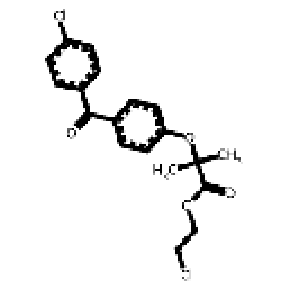 CC(C)(Oc1ccc(C(=O)c2ccc(Cl)cc2)cc1)C(=O)OCCCl